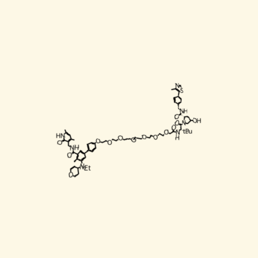 CCN(c1cc(-c2ccc(OCCOCCOCCOCCOCCOCCOCC(=O)N[C@H](C(=O)N3CC(O)C[C@H]3C(=O)NCc3ccc(-c4scnc4C)cc3)C(C)(C)C)cc2)cc(C(=O)NCc2c(C)cc(C)[nH]c2=O)c1C)C1CCOCC1